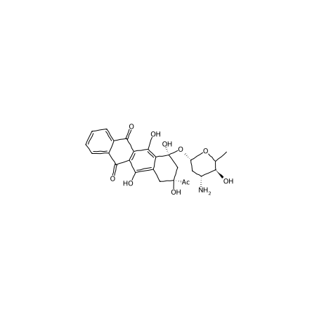 CC(=O)[C@]1(O)Cc2c(O)c3c(c(O)c2[C@@](O)(O[C@H]2C[C@@H](N)[C@H](O)C(C)O2)C1)C(=O)c1ccccc1C3=O